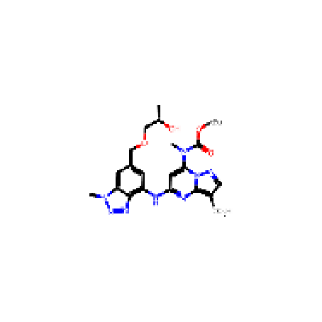 C[C@@H](O)COCc1cc(Nc2cc(N(C)C(=O)OC(C)(C)C)n3ncc(C(=O)O)c3n2)c2nnn(C)c2c1